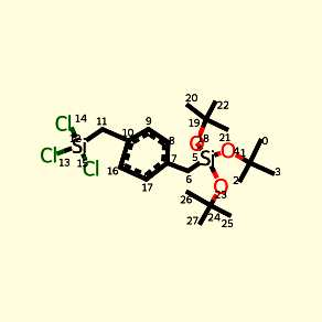 CC(C)(C)O[Si](Cc1ccc(C[Si](Cl)(Cl)Cl)cc1)(OC(C)(C)C)OC(C)(C)C